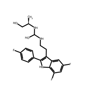 C[C@H](CO)NC(O)NCCc1c(-c2ccc(F)cc2)[nH]c2c(F)cc(F)cc12